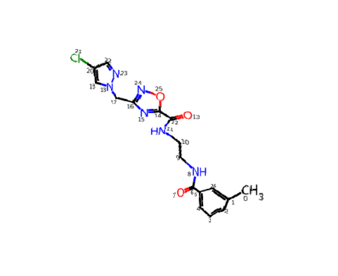 Cc1cccc(C(=O)NCCNC(=O)c2nc(Cn3cc(Cl)cn3)no2)c1